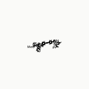 C=C1C[C@@H](c2nc(-c3ccc(C#Cc4ccc5[nH]c([C@@H]6C[C@@]7(CCCOC7)CN6C(=O)[C@@H](NC(=O)OC)C(C)C)nc5c4)cc3)c[nH]2)N(C(=O)[C@@H](C)C(C)C)C1